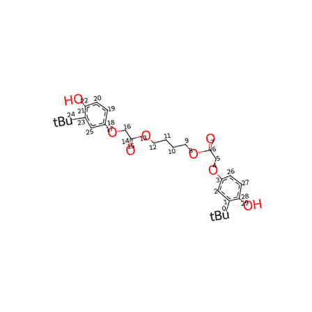 CC(C)(C)c1cc(OCC(=O)OCCCCOC(=O)COc2ccc(O)c(C(C)(C)C)c2)ccc1O